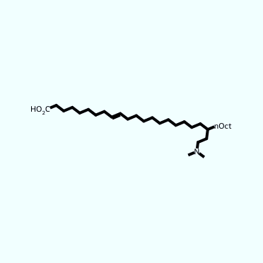 CCCCCCCCC(CCCCCCCCCCC=CCCCCCCCC(=O)O)CCN(C)C